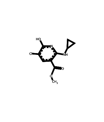 COC(=O)c1cc(Cl)c(O)nc1NC1CC1